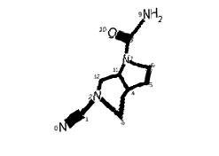 N#CN1CC2CCN(C(N)=O)C2C1